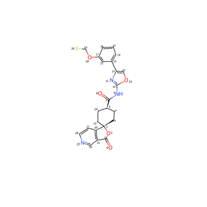 O=C1O[C@]2(CC[C@H](C(=O)Nc3nc(-c4cccc(OCF)c4)co3)CC2)c2ccncc21